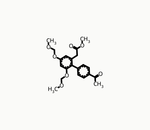 COCOc1cc(CC(=O)OC)c(-c2ccc(C(C)=O)cc2)c(OCOC)c1